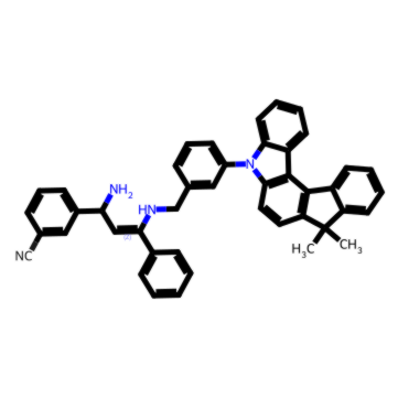 CC1(C)c2ccccc2-c2c1ccc1c2c2ccccc2n1-c1cccc(CN/C(=C\C(N)c2cccc(C#N)c2)c2ccccc2)c1